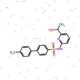 Cc1ccc(-c2ccc(S(=O)(=O)Nc3cccc(C(C)O)n3)cc2)cc1